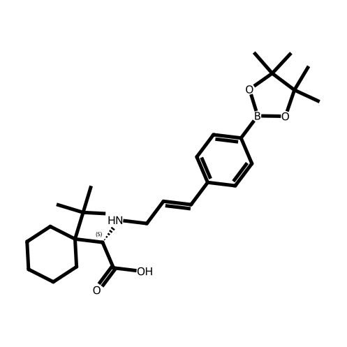 CC(C)(C)C1([C@H](NCC=Cc2ccc(B3OC(C)(C)C(C)(C)O3)cc2)C(=O)O)CCCCC1